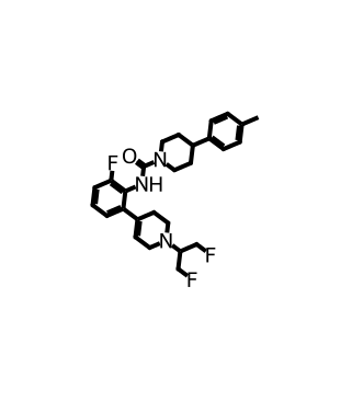 Cc1ccc(C2CCN(C(=O)Nc3c(F)cccc3C3=CCN(C(CF)CF)CC3)CC2)cc1